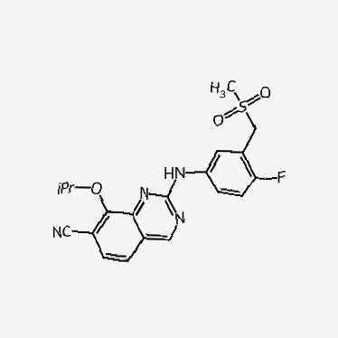 CC(C)Oc1c(C#N)ccc2cnc(Nc3ccc(F)c(CS(C)(=O)=O)c3)nc12